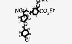 CCOC(=O)c1ccc(-n2cc(C#N)c3ccc(OCc4ccc(Cl)cc4)cc32)cc1OCOC